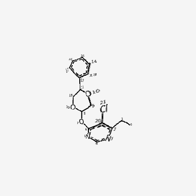 CCc1ncnc(OC2COC(c3ccccc3)CO2)c1Cl